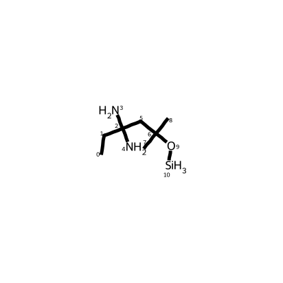 CCC(N)(N)CC(C)(C)O[SiH3]